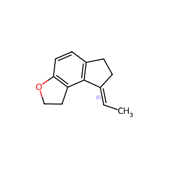 C/C=C1\CCc2ccc3c(c21)CCO3